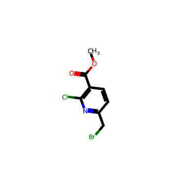 COC(=O)c1ccc(CBr)nc1Cl